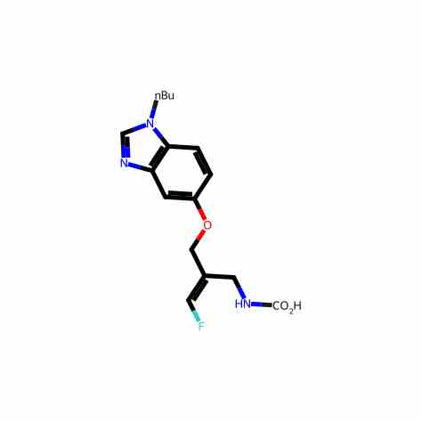 CCCCn1cnc2cc(OCC(=CF)CNC(=O)O)ccc21